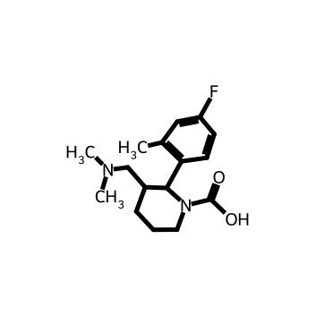 Cc1cc(F)ccc1C1C(CN(C)C)CCCN1C(=O)O